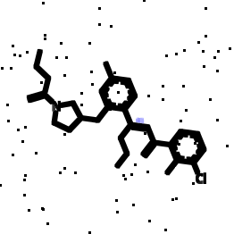 C=C(/C=C(\CCC)c1ccc(C)cc1CC1CCN(C(=C)CCC)C1)c1cccc(Cl)c1C